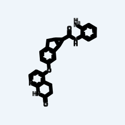 Nc1ccccc1NC(=O)C1C2Cc3ccc(Oc4ccnc5c4CCC(=O)N5)cc3C21